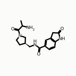 CC(N)C(=O)N1CC[C@H](CNC(=O)c2ccc3c(c2)CC(=O)N3)C1